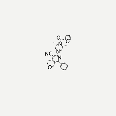 C[C@@H]1CN(c2nc(-c3ccccc3)c3c(c2C#N)CCOC3)C[C@H](C)N1C(=O)c1ccco1